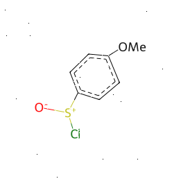 COc1ccc([S+]([O-])Cl)cc1